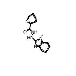 Cn1c(NNC(=O)c2ccccn2)nc2ccccc21